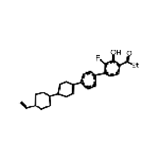 C=CC1CCC(C2CCC(c3ccc(-c4ccc(C(=O)CC)c(O)c4F)cc3)CC2)CC1